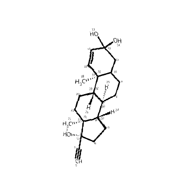 C#C[C@]1(O)CC[C@H]2[C@@H]3CCC4CC(O)(O)C=C[C@]4(C)[C@H]3CC[C@@]21C